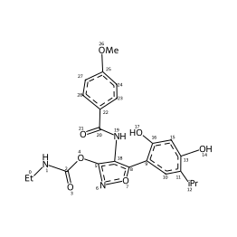 CCNC(=O)Oc1noc(-c2cc(C(C)C)c(O)cc2O)c1NC(=O)c1ccc(OC)cc1